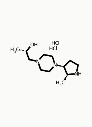 C[C@H](O)CN1CCN([C@H]2CCN[C@H]2C)CC1.Cl.Cl